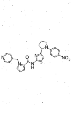 O=C(Nc1nc([C@H]2CCCN2c2ccc([N+](=O)[O-])cc2)cs1)c1cccn1Cc1ccncc1